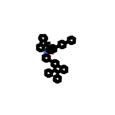 CC1(c2ccccc2)c2ccccc2-c2cccc(N(c3ccc(-c4ccc(-c5ccccc5)cc4)cc3)c3cccc(-c4ccc5c(c4)c(-c4ccccc4)c(-c4ccccc4)c4ccccc45)c3)c21